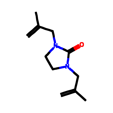 C=C(C)CN1CCN(CC(=C)C)C1=O